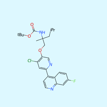 CC(C)CC(C)(COc1cnc(-c2ccnc3cc(F)ccc23)cc1Cl)NC(=O)OC(C)(C)C